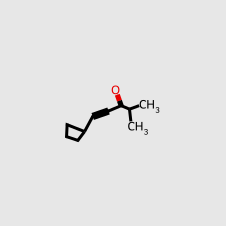 CC(C)C(=O)C#CC1CCC1